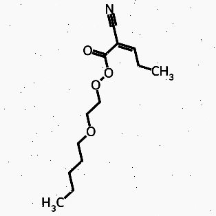 CCC=C(C#N)C(=O)OOCCOCCCCC